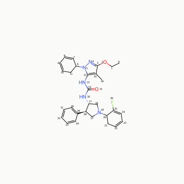 CCOc1nn(C2C=CC=CC2)c(NC(=O)N[C@@H]2CN(C3CC=CC=C3F)C[C@H]2c2ccccc2)c1C